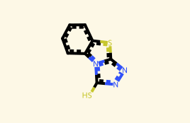 Sc1nnc2sc3ccccc3n12